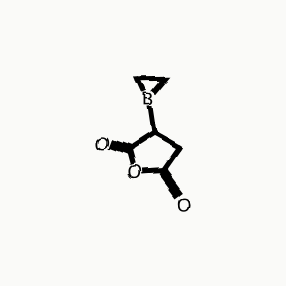 O=C1CC(B2CC2)C(=O)O1